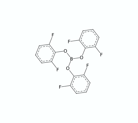 Fc1cccc(F)c1OB(Oc1c(F)cccc1F)Oc1c(F)cccc1F